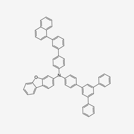 c1ccc(-c2cc(-c3ccccc3)cc(-c3ccc(N(c4ccc(-c5cccc(-c6cccc7ccccc67)c5)cc4)c4ccc5c(c4)oc4ccccc45)cc3)c2)cc1